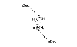 C=P(O)(OCCCCCCCCCCCCCCCCCC)OCCOP(=C)(O)OCCCCCCCCCCCCCCCCCC